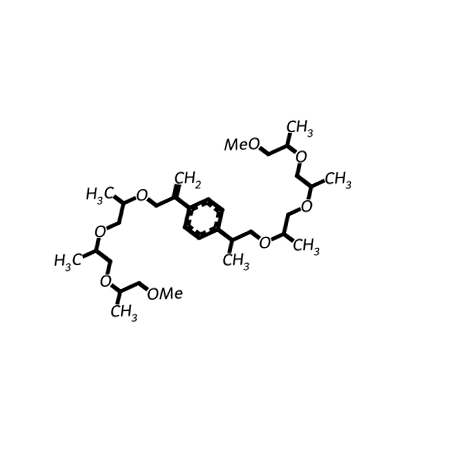 C=C(COC(C)COC(C)COC(C)COC)c1ccc(C(C)COC(C)COC(C)COC(C)COC)cc1